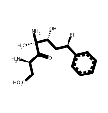 CC[C@H](C[C@@H](O)[C@](C)(N)C(=O)[C@H](N)CC(=O)O)c1ccccc1